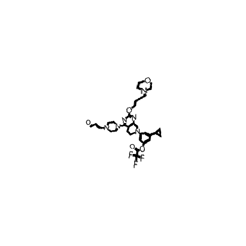 O=CC=CN1CCN(c2nc(OCCCN3CCOCC3)nc3c2CCN(c2cc(OC(=O)C(F)(F)F)cc(C4CC4)c2)C3)CC1